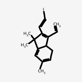 C=CC1=C(/C=C/I)C(C)(C)C2=CC(C)=CCC21